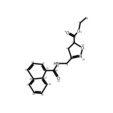 CCOC(=O)C1CC(CNC(=O)c2cccc3ccccc23)=NO1